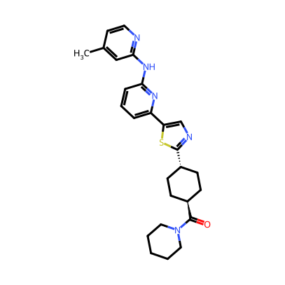 Cc1ccnc(Nc2cccc(-c3cnc([C@H]4CC[C@H](C(=O)N5CCCCC5)CC4)s3)n2)c1